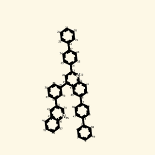 c1ccc(-c2ccc(-c3ccc4nc(-c5ccc(-c6ccccc6)cc5)cc(-c5cccc(-c6cnc7ccccc7c6)c5)c4c3)cc2)cc1